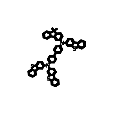 CC1(C)c2ccccc2-c2cc(N(c3ccc(C4=CC=C(N(c5ccc6c(c5)sc5ccccc56)c5ccc6sc7ccccc7c6c5)CC4)cc3)c3ccc4c(c3)sc3ccccc34)ccc21